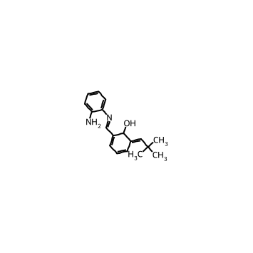 CC(C)(C)C=C1C=CC=C(C=Nc2ccccc2N)C1O